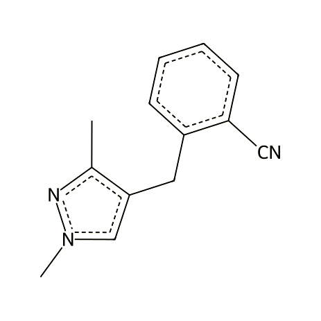 Cc1nn(C)cc1Cc1ccccc1C#N